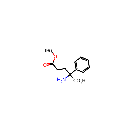 CC(C)(C)OC(=O)CCC(N)(C(=O)O)c1ccccc1